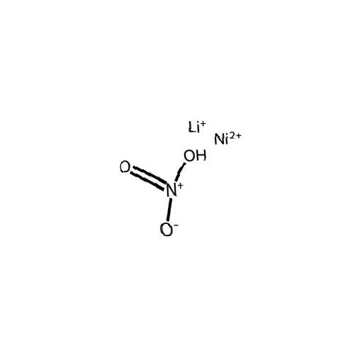 O=[N+]([O-])O.[Li+].[Ni+2]